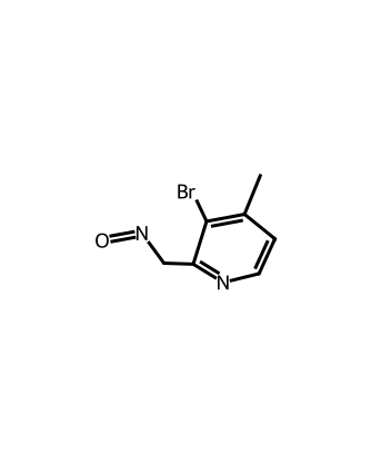 Cc1ccnc(CN=O)c1Br